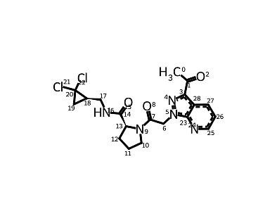 CC(=O)c1nn(CC(=O)N2CCC[C@H]2C(=O)NC[C@H]2CC2(Cl)Cl)c2ncccc12